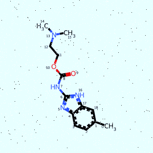 Cc1ccc2nc(NC(=O)OCCN(C)C)[nH]c2c1